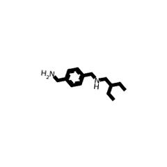 CCC(CC)CNCc1ccc(CN)cc1